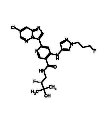 CC(C)(O)[C@H](F)CNC(=O)c1cnc(-c2cnc3cc(Cl)cnn23)cc1Nc1cnn(CCCF)c1